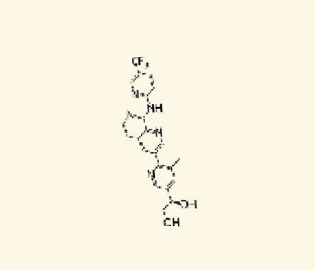 Cc1cc([C@@H](O)CO)cnc1-c1cnc2c(Nc3ccc(C(F)(F)F)cn3)nccc2c1